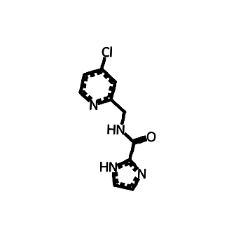 O=C(NCc1cc(Cl)ccn1)c1ncc[nH]1